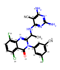 CC(Nc1nc(N)nc(N)c1C#N)c1nc2c(F)ccc(Cl)c2c(=O)n1-c1cc(F)cc(C#N)c1